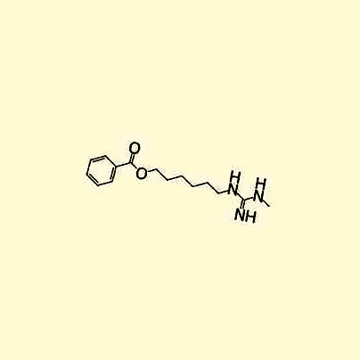 CNC(=N)NCCCCCCOC(=O)c1ccccc1